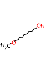 [CH2]COCCCCCCCCCCO